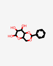 OC1OC2COC(c3ccccc3)OC2C(O)C1O